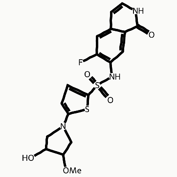 COC1CN(c2ccc(S(=O)(=O)Nc3cc4c(=O)[nH]ccc4cc3F)s2)CC1O